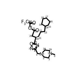 CN1CCN(Cc2noc([C@H](CCCC3CCCCC3)CC(=O)OC(=O)C(F)(F)F)n2)CC1